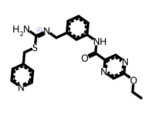 CCOc1cnc(C(=O)Nc2cccc(C/N=C(/N)SCc3ccncc3)c2)cn1